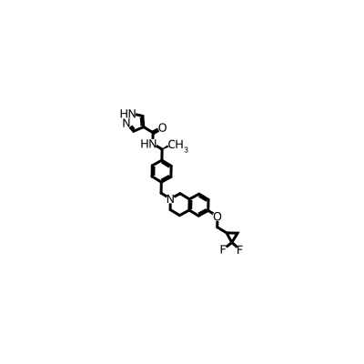 C[C@H](NC(=O)c1cn[nH]c1)c1ccc(CN2CCc3cc(OCC4CC4(F)F)ccc3C2)cc1